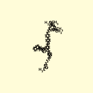 C=CC(=O)OCCCCCCOc1ccc(COc2ccc(COc3ccc(C4CCC(CCCC(CCOC(=O)C(=C)C)CCOC(=O)C(=C)C)CC4)cc3)cc2/C=N/N(CC(F)(F)F)c2nc3ccc4ccccc4c3s2)cn1